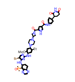 CCc1cc(Nc2ncc(Br)c(Nc3ccc4nccnc4c3P(C)(C)=O)n2)c(OC)cc1N1CCN(C2CN(C(=O)c3cc(C(=O)Nc4ccc(C5CCC(=O)NC5=O)cc4)c[nH]3)C2)CC1